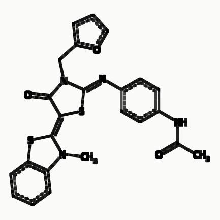 CC(=O)Nc1ccc(N=C2SC(=C3Sc4ccccc4N3C)C(=O)N2Cc2ccco2)cc1